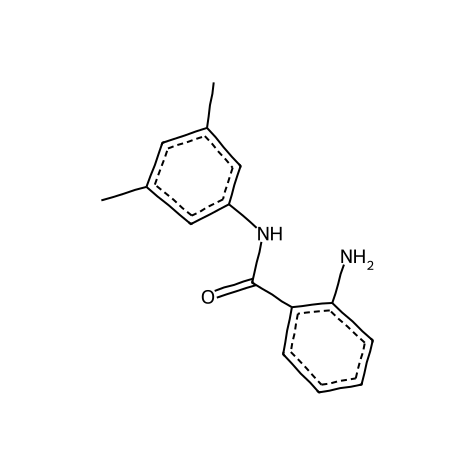 Cc1cc(C)cc(NC(=O)c2ccccc2N)c1